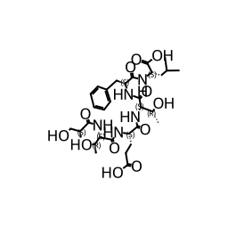 CC(C)C[C@H](NC(=O)[C@H](Cc1ccccc1)NC(=O)[C@@H](NC(=O)[C@H](CCC(=O)O)NC(=O)[C@@H](NC(=O)[C@@H](C)CO)[C@@H](C)O)[C@@H](C)O)C(=O)O